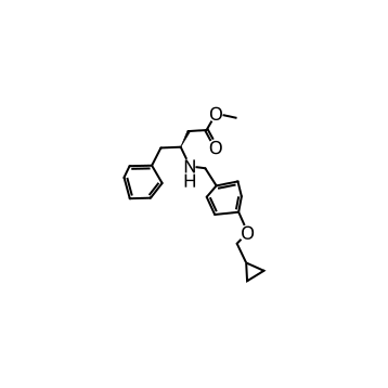 COC(=O)C[C@H](Cc1ccccc1)NCc1ccc(OCC2CC2)cc1